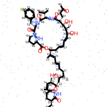 CC[C@H]1C[C@H](C)[C@@]2(NC1=O)O[C@@H](C[C@H](O)[C@@H](C)CC/C=C/C=C(\C)[C@@H]1C/C=C/C=C/[C@H](O)[C@H](C)[C@@H](O)[C@@H](CCC(C)=O)C(=O)N[C@@H](C(C)C)C(=O)N[C@@H](Cc3cccc(F)c3)C(=O)N3CCCC(N3)C(=O)O1)[C@H](C)C=C2C